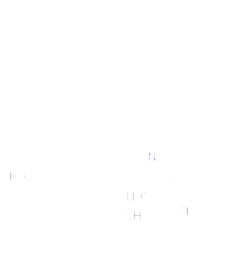 Cc1cc(C)cc(-c2c(C3=NC(C)(C)CCC3)ccc3ccccc23)c1